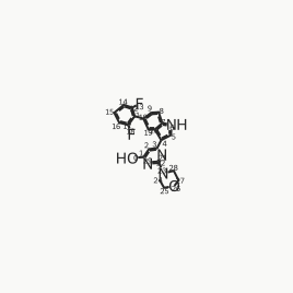 Oc1cc(-c2c[nH]c3ccc(-c4c(F)cccc4F)cc23)nc(N2CCOCC2)n1